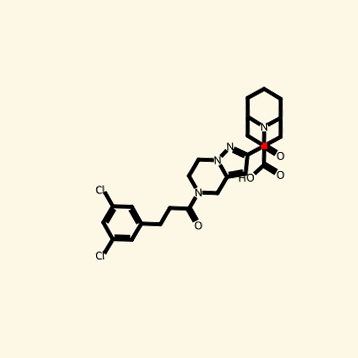 O=C(O)C1CC2CCCC(C1)N2C(=O)c1cc2n(n1)CCN(C(=O)CCc1cc(Cl)cc(Cl)c1)C2